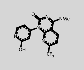 CNc1nc(=O)n(-c2ccnc(O)c2)c2nc(C(F)(F)F)ccc12